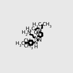 CC(C)CN(CC(C)C)c1ccc2nc(Nc3ccc(C(C)(C)C)cc3)n(CCCN)c2n1